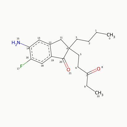 CCCCC1(CCC(=O)CC)Cc2cc(N)c(F)cc2C1=O